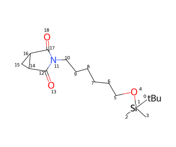 CC(C)(C)[Si](C)(C)OCCCCCCN1C(=O)C2CC2C1=O